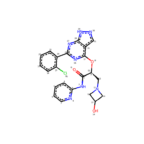 O=C(Nc1ccccn1)[C@H](CN1CC(O)C1)Oc1nc(-c2ccccc2Cl)nc2[nH]ncc12